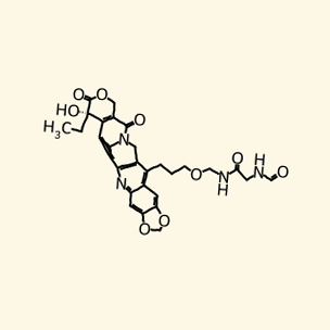 CC[C@@]1(O)C(=O)OCC2=C1C1=C3c4nc5cc6c(cc5c(CCCOCNC(=O)CNC=O)c4CN(C2=O)C13)OCO6